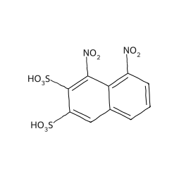 O=[N+]([O-])c1cccc2cc(S(=O)(=O)O)c(S(=O)(=O)O)c([N+](=O)[O-])c12